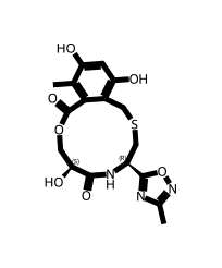 Cc1noc([C@@H]2CSCc3c(O)cc(O)c(C)c3C(=O)OC[C@H](O)C(=O)N2)n1